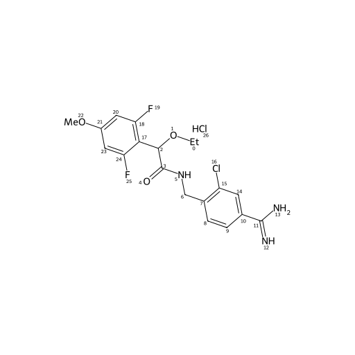 CCOC(C(=O)NCc1ccc(C(=N)N)cc1Cl)c1c(F)cc(OC)cc1F.Cl